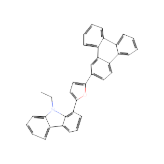 CCn1c2ccccc2c2cccc(-c3ccc(-c4ccc5c6ccccc6c6ccccc6c5c4)o3)c21